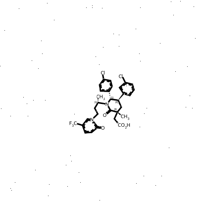 C[C@@H](CCn1cc(C(F)(F)F)ccc1=O)N1C(=O)[C@@](C)(CC(=O)O)C[C@H](c2cccc(Cl)c2)[C@H]1c1ccc(Cl)cc1